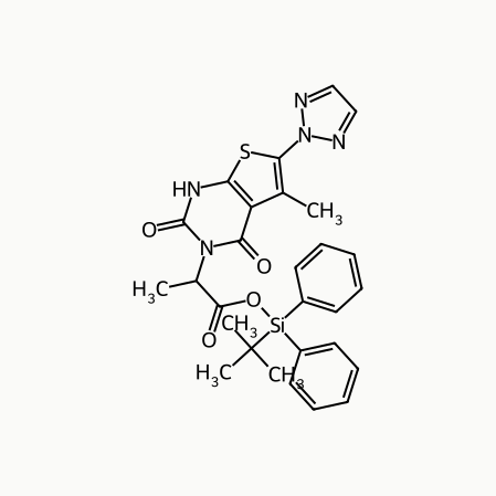 Cc1c(-n2nccn2)sc2[nH]c(=O)n(C(C)C(=O)O[Si](c3ccccc3)(c3ccccc3)C(C)(C)C)c(=O)c12